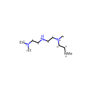 CCN(CC)CCNCCN(C)CCNC